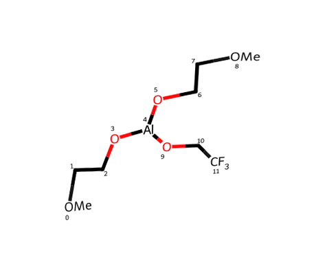 COCC[O][Al]([O]CCOC)[O]CC(F)(F)F